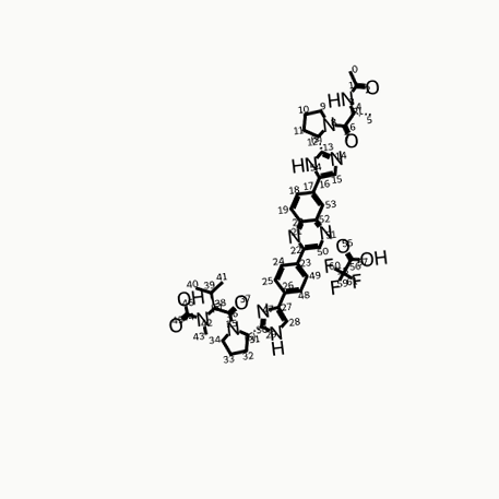 CC(=O)N[C@H](C)C(=O)N1CCC[C@H]1c1ncc(-c2ccc3nc(-c4ccc(-c5c[nH]c([C@@H]6CCCN6C(=O)[C@H](C(C)C)N(C)C(=O)O)n5)cc4)cnc3c2)[nH]1.O=C(O)C(F)(F)F